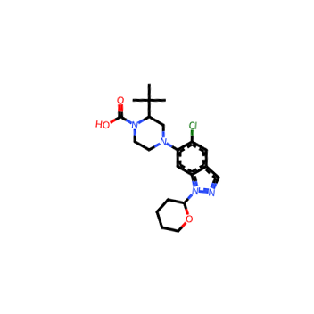 CC(C)(C)C1CN(c2cc3c(cnn3C3CCCCO3)cc2Cl)CCN1C(=O)O